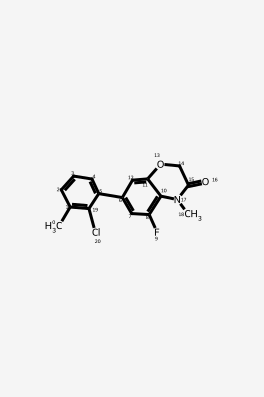 Cc1cccc(-c2cc(F)c3c(c2)OCC(=O)N3C)c1Cl